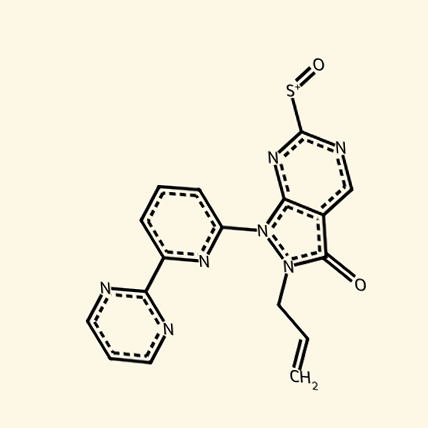 C=CCn1c(=O)c2cnc([S+]=O)nc2n1-c1cccc(-c2ncccn2)n1